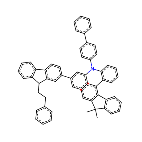 CC1(C)c2ccccc2-c2c(-c3ccccc3N(c3ccc(-c4ccccc4)cc3)c3cccc(-c4ccc5c(c4)C(CCc4ccccc4)c4ccccc4-5)c3)cccc21